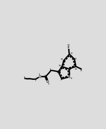 CCOC(=O)Cc1csc2c(C)cc(F)cc12